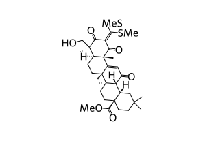 COC(=O)[C@]12CCC(C)(C)C[C@H]1[C@H]1C(=O)C=C3[C@@]4(C)C(=O)C(=C(SC)SC)C(=O)[C@](C)(CO)[C@@H]4CC[C@@]3(C)[C@]1(C)CC2